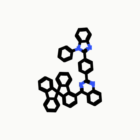 c1ccc(-n2c(-c3ccc(-c4nc(-c5cccc6c5-c5ccccc5C65c6ccccc6-c6ccccc65)c5ccccc5n4)cc3)nc3ccccc32)cc1